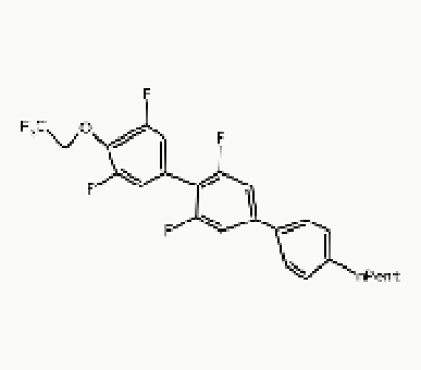 CCCCCc1ccc(-c2cc(F)c(-c3cc(F)c(OCC(F)(F)F)c(F)c3)c(F)c2)cc1